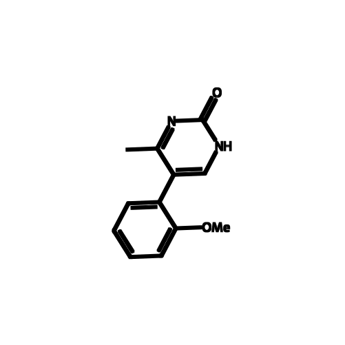 COc1ccccc1-c1c[nH]c(=O)nc1C